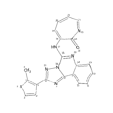 Cc1sccc1-c1nc2c3ccccc3nc(Nc3ccccnc3=O)n2n1